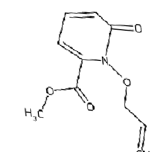 C=CCOn1c(C(=O)OC)cccc1=O